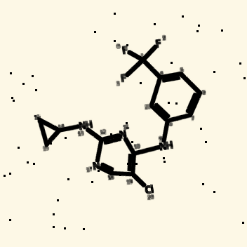 FC(F)(F)c1cccc(Nc2nc(NC3CC3)ncc2Cl)c1